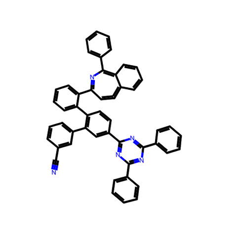 N#Cc1cccc(-c2cc(-c3nc(-c4ccccc4)nc(-c4ccccc4)n3)ccc2-c2ccccc2C2=NC(c3ccccc3)=c3ccccc3=C=C2)c1